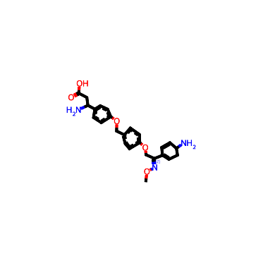 CO/N=C(\COc1ccc(COc2ccc(C(N)CC(=O)O)cc2)cc1)C1=CCC(N)C=C1